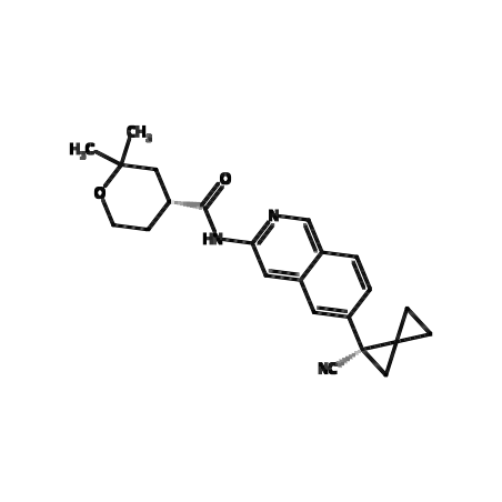 CC1(C)C[C@H](C(=O)Nc2cc3cc([C@]4(C#N)CC45CC5)ccc3cn2)CCO1